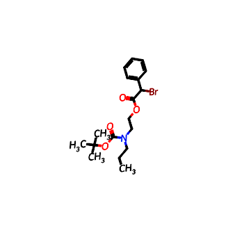 CCCN(CCOC(=O)C(Br)c1ccccc1)C(=O)OC(C)(C)C